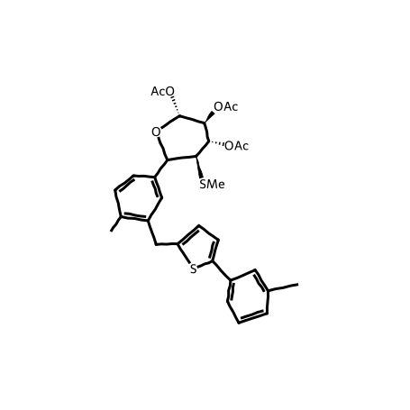 CS[C@H]1C(c2ccc(C)c(Cc3ccc(-c4cccc(C)c4)s3)c2)O[C@H](OC(C)=O)[C@@H](OC(C)=O)[C@@H]1OC(C)=O